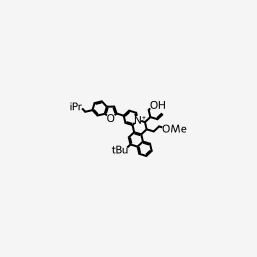 C=CC(CO)C1C(CCOC)c2c(cc(C(C)(C)C)c3ccccc23)-c2cc(-c3cc4ccc(CC(C)C)cc4o3)cc[n+]21